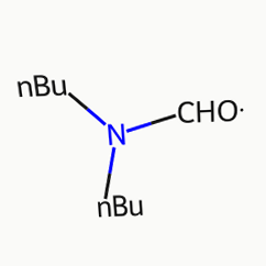 CCCCN([C]=O)CCCC